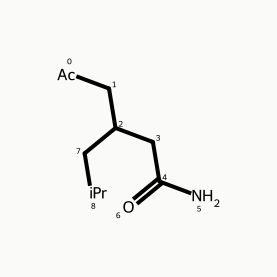 CC(=O)CC(CC(N)=O)CC(C)C